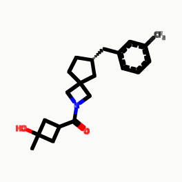 CC1(O)CC(C(=O)N2CC3(CC[C@H](Cc4cccc(C(F)(F)F)c4)C3)C2)C1